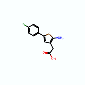 Nc1sc(-c2ccc(F)cc2)cc1CC(=O)O